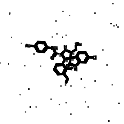 CC(=O)c1ccc(NC(=O)[C@@H]2N[C@@H](CC(C)(C)C)[C@@]3(C(=O)Nc4cc(Cl)ccc43)[C@H]2c2cccc(CI)c2F)cc1